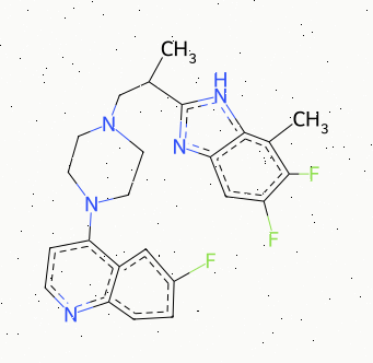 Cc1c(F)c(F)cc2nc(C(C)CN3CCN(c4ccnc5ccc(F)cc45)CC3)[nH]c12